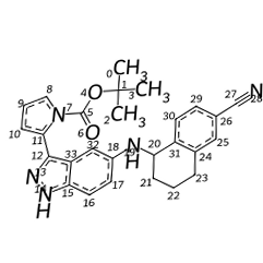 CC(C)(C)OC(=O)n1cccc1-c1n[nH]c2ccc(NC3CCCc4cc(C#N)ccc43)cc12